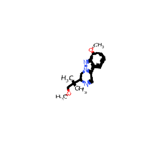 COCC(C)(C)C1Cn2nc3c(OC)cccc3c2C=N1